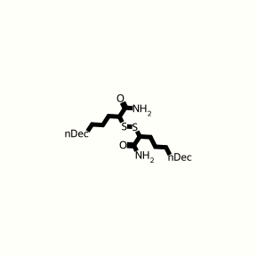 CCCCCCCCCCCCCC(SSC(CCCCCCCCCCCCC)C(N)=O)C(N)=O